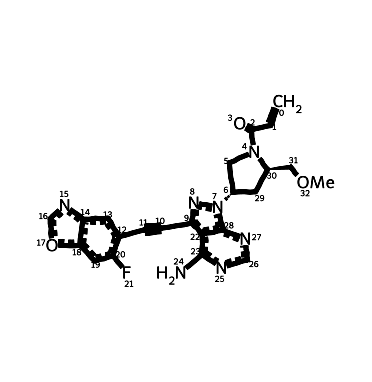 C=CC(=O)N1C[C@@H](n2nc(C#Cc3cc4ncoc4cc3F)c3c(N)ncnc32)C[C@@H]1COC